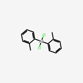 Cc1cccc[c]1[Pd]([Cl])([Cl])[c]1ccccc1C